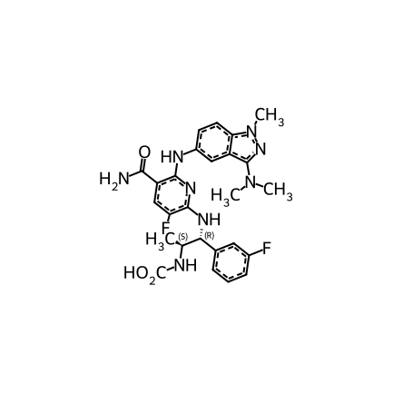 C[C@H](NC(=O)O)[C@H](Nc1nc(Nc2ccc3c(c2)c(N(C)C)nn3C)c(C(N)=O)cc1F)c1cccc(F)c1